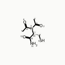 CC(=O)N(C(C)=O)[C@H](CS)C(N)=O